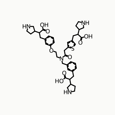 O=C(O)C(Cc1cccc(CN(CCOc2cccc(CC(C(=O)O)C3CCNC3)c2)C(=O)Cc2cc(CC(C(=O)O)C3CCNC3)cs2)c1)C1CCNC1